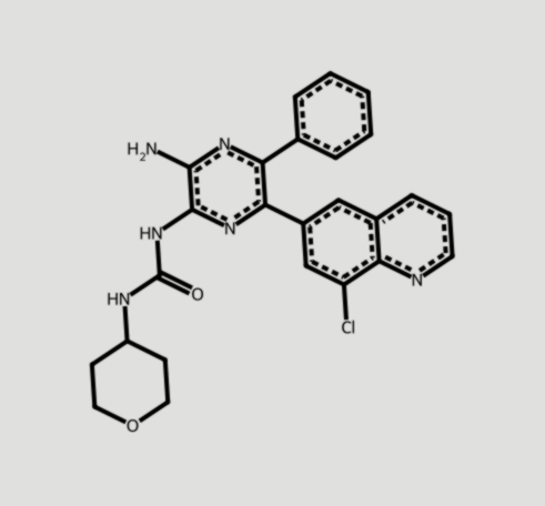 Nc1nc(-c2ccccc2)c(-c2cc(Cl)c3ncccc3c2)nc1NC(=O)NC1CCOCC1